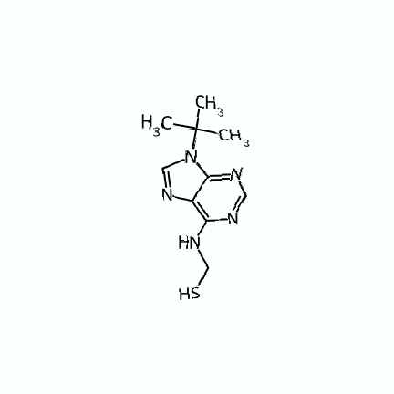 CC(C)(C)n1cnc2c(NCS)ncnc21